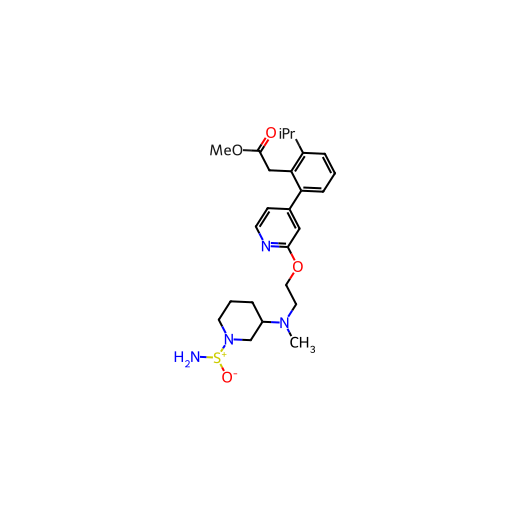 COC(=O)Cc1c(-c2ccnc(OCCN(C)C3CCCN([S+](N)[O-])C3)c2)cccc1C(C)C